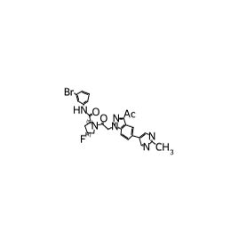 CC(=O)c1nn(CC(=O)N2C[C@H](F)C[C@H]2C(=O)Nc2cccc(Br)c2)c2ccc(-c3cnc(C)nc3)cc12